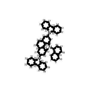 c1ccc2c(-n3c4cc(-n5c6ccccc6c6ccccc65)cc5ccc6cc(-n7c8ccccc8c8ccccc87)cc3c6c54)cccc2c1